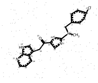 CN(Cc1ccc(Cl)cc1)c1ncc(C(=O)Cc2c[nH]c3ncccc23)s1